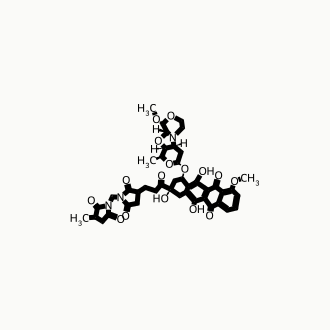 COc1cccc2c1C(=O)c1c(O)c3c(c(O)c1C2=O)C[C@@](O)(C(=O)CCC1CC(=O)N(CN2C(=O)CC(C)C2=O)C1=O)C[C@@H]3O[C@H]1C[C@H]2[C@H](O[C@@H]3[C@@H](OC)OCCN32)[C@H](C)O1